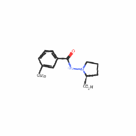 COc1cccc(C(=O)NN2CCC[C@H]2C(=O)O)c1